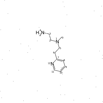 CN(CCN)CCc1ccccn1